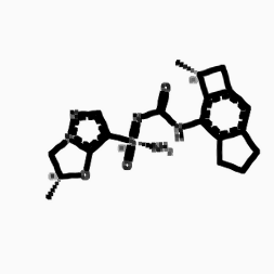 C[C@@H]1Cn2ncc([S@](N)(=O)=NC(=O)Nc3c4c(cc5c3[C@H](C)C5)CCC4)c2O1